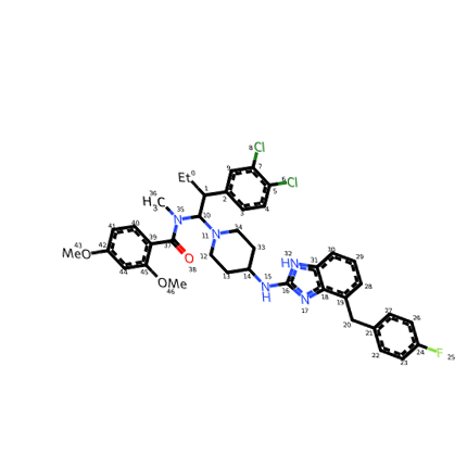 CCC(c1ccc(Cl)c(Cl)c1)C(N1CCC(Nc2nc3c(Cc4ccc(F)cc4)cccc3[nH]2)CC1)N(C)C(=O)c1ccc(OC)cc1OC